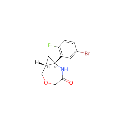 O=C1COC[C@@H]2C[C@]2(c2cc(Br)ccc2F)N1